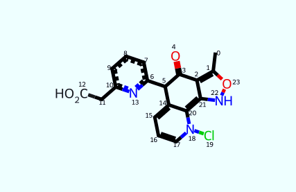 CC1=C2C(=O)C(c3cccc(CC(=O)O)n3)C3=CC=CN(Cl)C3=C2NO1